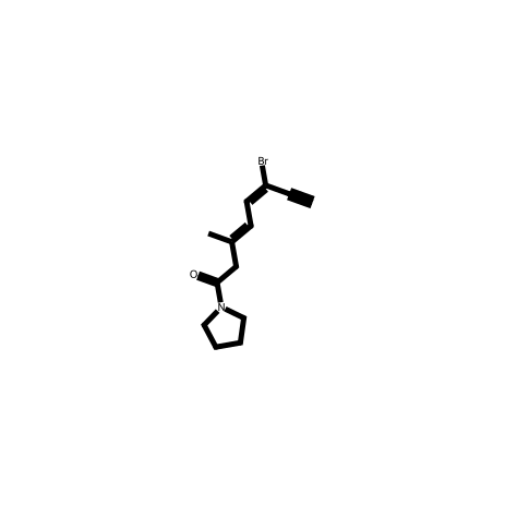 C#C/C(Br)=C\C=C(/C)CC(=O)N1CCCC1